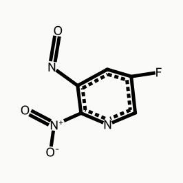 O=Nc1cc(F)cnc1[N+](=O)[O-]